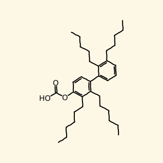 CCCCCCc1c(OC(=O)O)ccc(-c2cccc(CCCCC)c2CCCCC)c1CCCCCC